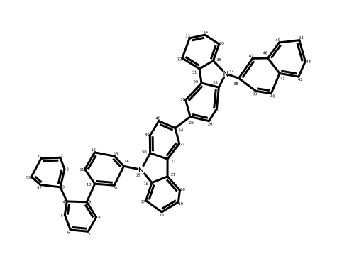 c1ccc(-c2ccccc2-c2cccc(-n3c4ccccc4c4cc(-c5ccc6c(c5)c5ccccc5n6-c5ccc6ccccc6c5)ccc43)c2)cc1